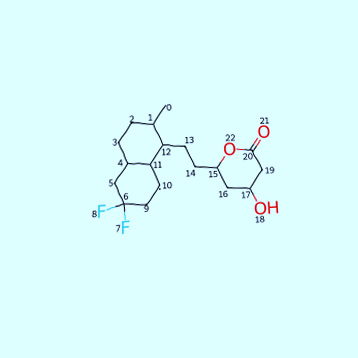 CC1CCC2CC(F)(F)C[CH]C2C1CCC1CC(O)CC(=O)O1